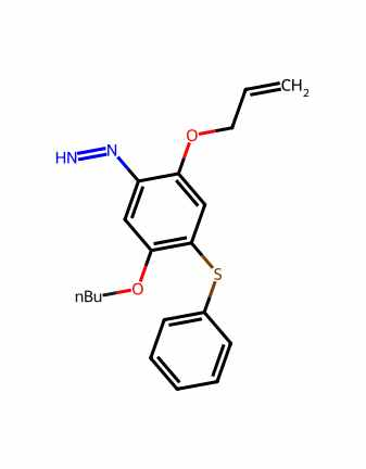 C=CCOc1cc(Sc2ccccc2)c(OCCCC)cc1N=N